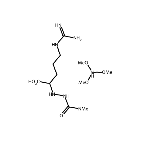 CNC(=O)NNC(CCCNC(=N)N)C(=O)O.CO[SiH](OC)OC